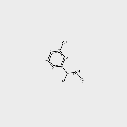 CC(NCl)c1cccc(Cl)c1